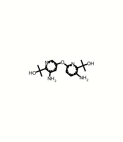 CC(C)(O)c1ncc(Oc2ccc(N)c(C(C)(C)O)n2)cc1N